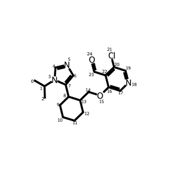 CC(C)n1cncc1C1CCCCC1COc1cncc(Cl)c1C=O